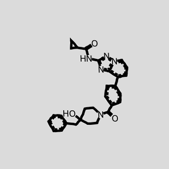 O=C(Nc1nc2c(-c3ccc(C(=O)N4CCC(O)(Cc5ccccc5)CC4)cc3)cccn2n1)C1CC1